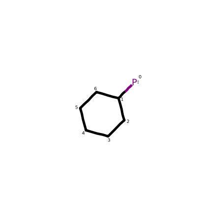 [P]C1CCCCC1